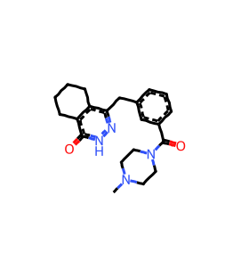 CN1CCN(C(=O)c2cccc(Cc3n[nH]c(=O)c4c3CCCC4)c2)CC1